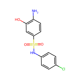 Nc1ccc(S(=O)(=O)Nc2ccc(Cl)cc2)cc1O